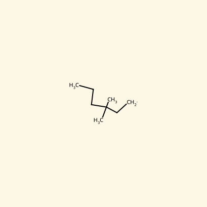 [CH2]CC(C)(C)CCC